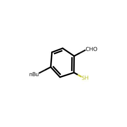 CCCCc1ccc(C=O)c(S)c1